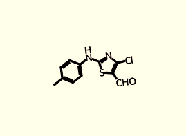 Cc1ccc(Nc2nc(Cl)c(C=O)s2)cc1